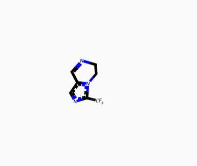 FC(F)(F)c1ncc2n1CCN=C2